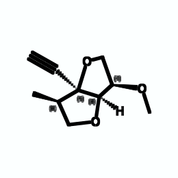 C#C[C@]12OC[C@@H](OC)[C@H]1OC[C@H]2C